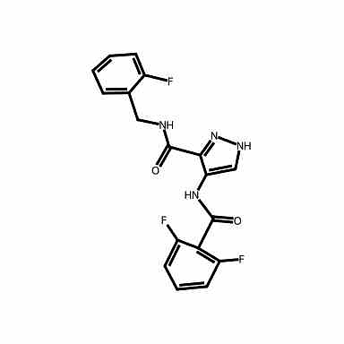 O=C(NCc1ccccc1F)c1n[nH]cc1NC(=O)c1c(F)cccc1F